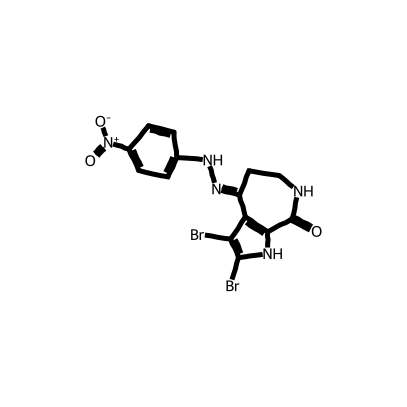 O=C1NCC/C(=N\Nc2ccc([N+](=O)[O-])cc2)c2c1[nH]c(Br)c2Br